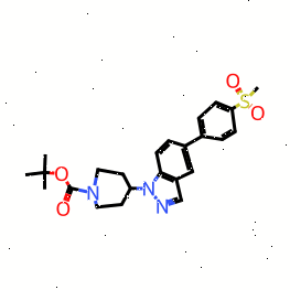 CC(C)(C)OC(=O)N1CCC(n2ncc3cc(-c4ccc(S(C)(=O)=O)cc4)ccc32)CC1